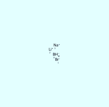 [BH4-].[Br-].[Li+].[Na+]